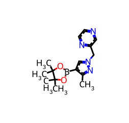 Cc1nn(Cc2cnccn2)cc1B1OC(C)(C)C(C)(C)O1